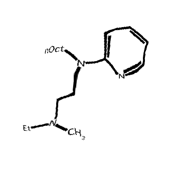 CCCCCCCCN(CCN(C)CC)c1ccccn1